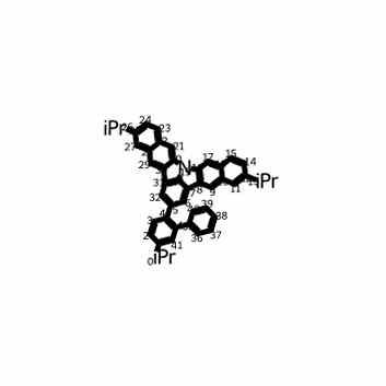 CC(C)c1ccc(-c2cc3c4cc5cc(C(C)C)ccc5cc4n4c5cc6ccc(C(C)C)cc6cc5c(c2)c34)c(-c2ccccc2)c1